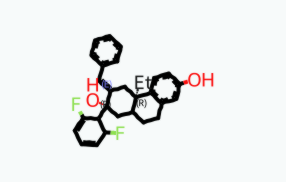 CC[C@@]12C/C(=C\c3ccccc3)[C@](O)(C3C(F)=CC=CC3F)CC1CCc1cc(O)ccc12